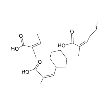 CC(=CC1CCCCC1)C(=O)O.CC=C(C)C(=O)O.CCCC=C(C)C(=O)O